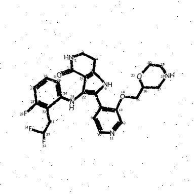 O=C1NCCc2[nH]c(-c3ccncc3OCC3CNCCO3)c(Nc3cccc(F)c3CC(F)F)c21